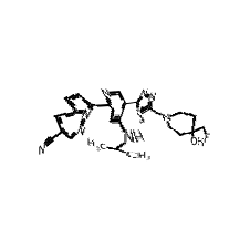 CC(C)Nc1cc(-c2ccc3cc(C#N)cnn23)ncc1-c1nnc(N2CCC(O)(CF)CC2)s1